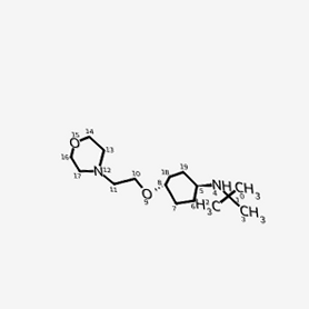 CC(C)(C)N[C@H]1CC[C@H](OCCN2CCOCC2)CC1